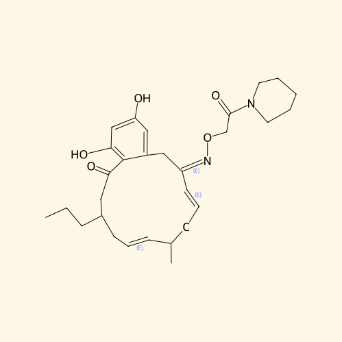 CCCC1C/C=C/C(C)C/C=C/C(=N/OCC(=O)N2CCCCC2)Cc2cc(O)cc(O)c2C(=O)C1